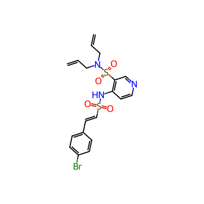 C=CCN(CC=C)S(=O)(=O)c1cnccc1NS(=O)(=O)C=Cc1ccc(Br)cc1